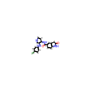 O=C1Cc2cc(C(=O)Nc3ccncc3Nc3ccc(F)cc3)ccc2N1